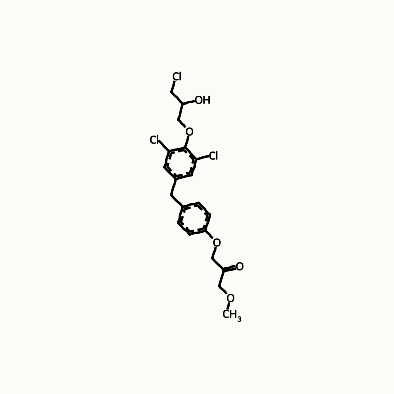 COCC(=O)COc1ccc(Cc2cc(Cl)c(OCC(O)CCl)c(Cl)c2)cc1